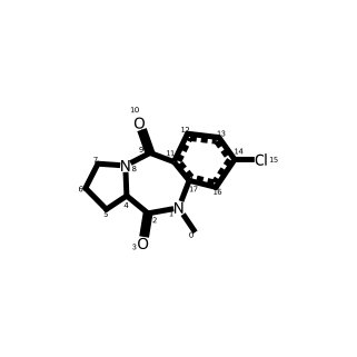 CN1C(=O)C2CCCN2C(=O)c2ccc(Cl)cc21